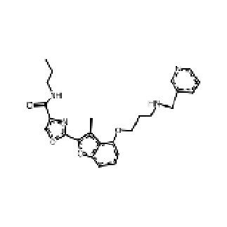 CCCNC(=O)c1coc(-c2oc3cccc(OCCCNCc4cccnc4)c3c2C)n1